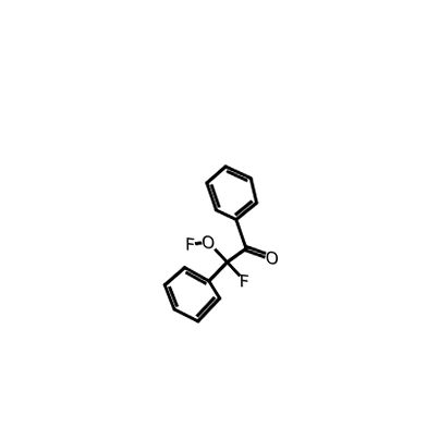 O=C(c1ccccc1)C(F)(OF)c1ccccc1